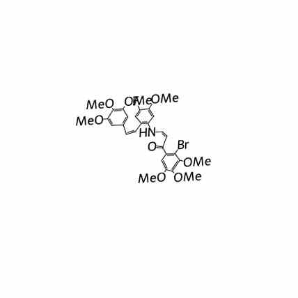 COc1cc(N/C=C\C(=O)c2cc(OC)c(OC)c(OC)c2Br)c(/C=C\c2cc(OC)c(OC)c(OC)c2)cc1F